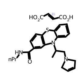 CCCNC(=O)c1ccc2c(c1)N(C(C)CN1CC=CC1)c1ccccc1S2.O=C(O)/C=C/C(=O)O